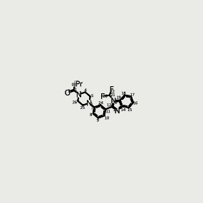 CC(C)C(=O)N1CCN(c2cccc(-c3nc4ccccc4n3C(F)F)c2)CC1